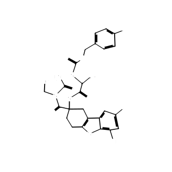 CCC(C)C(NC(=O)OCc1ccc(Cl)cc1)C(=O)NC1(C(=O)N(CC(C)C)C(N)=O)CCc2[nH]c3c(Cl)cc(Cl)cc3c2C1